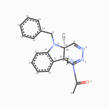 CC(=O)N1CC[C@@]23C1=NN=C[C@@H]2N(Cc1ccccc1)c1ccccc13